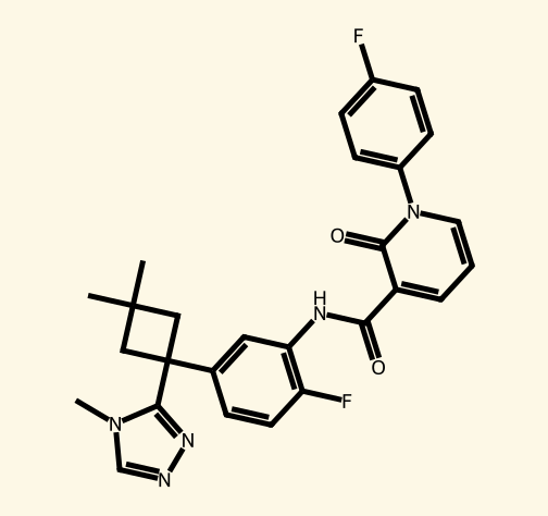 Cn1cnnc1C1(c2ccc(F)c(NC(=O)c3cccn(-c4ccc(F)cc4)c3=O)c2)CC(C)(C)C1